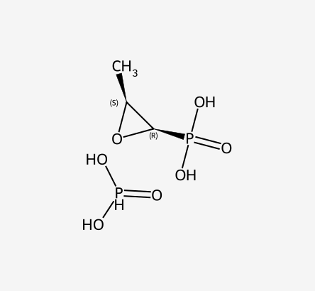 C[C@@H]1O[C@@H]1P(=O)(O)O.O=[PH](O)O